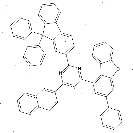 c1ccc(-c2cc(-c3nc(-c4ccc5c(c4)C(c4ccccc4)(c4ccccc4)c4ccccc4-5)nc(-c4ccc5ccccc5c4)n3)c3c(c2)oc2ccccc23)cc1